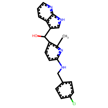 Cc1nc(NCc2ccc(Cl)cc2)ccc1C(O)c1c[nH]c2ncccc12